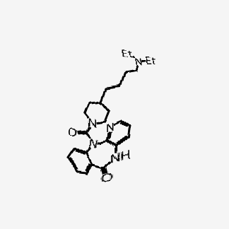 CCN(CC)CCCCC1CCN(C(=O)N2c3ccccc3C(=O)Nc3cccnc32)CC1